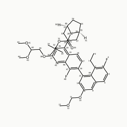 CCc1c(F)ccc2cc(OCOC)cc(-c3ccc4c(N5C[C@H]6CC[C@@H](C5)N6C(=O)OC(C)(C)C)nc(OCC(OC)OC)nc4c3F)c12